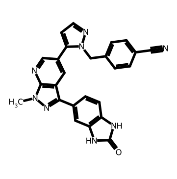 Cn1nc(-c2ccc3[nH]c(=O)[nH]c3c2)c2cc(-c3ccnn3Cc3ccc(C#N)cc3)cnc21